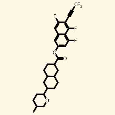 CC1CCC(C2CCC3CC(C(=O)Oc4cc(F)c5c(F)c(C#CC(F)(F)F)c(F)cc5c4)CCC3C2)OC1